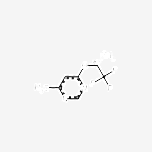 Cc1cc(O[C@H](C)C(F)(F)F)ncn1